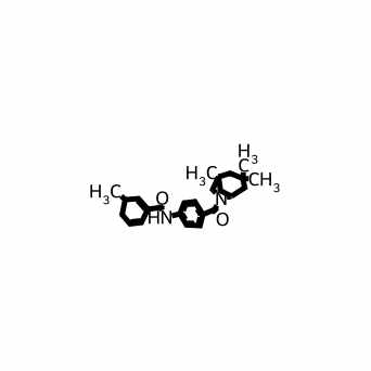 CC1C=C(C(=O)Nc2ccc(C(=O)N3CC4(C)CC3CC(C)(C)C4)cc2)C=CC1